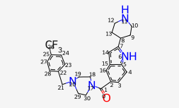 O=C(c1ccc2[nH]c(C3CCNCC3)cc2c1)N1CCN(Cc2ccc(C(F)(F)F)cc2)CC1